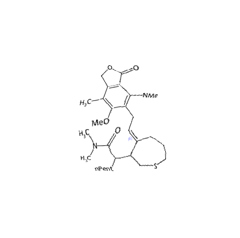 CCCCCC(C(=O)N(C)C)C1CSCCC/C1=C\Cc1c(NC)c2c(c(C)c1OC)COC2=O